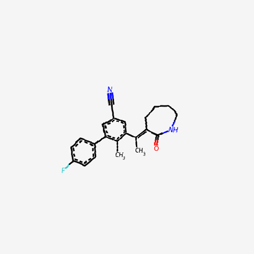 C/C(=C1/CCCCNC1=O)c1cc(C#N)cc(-c2ccc(F)cc2)c1C